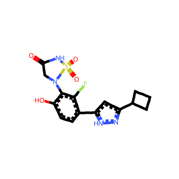 O=C1CN(c2c(O)ccc(-c3cc(C4CCC4)n[nH]3)c2F)S(=O)(=O)N1